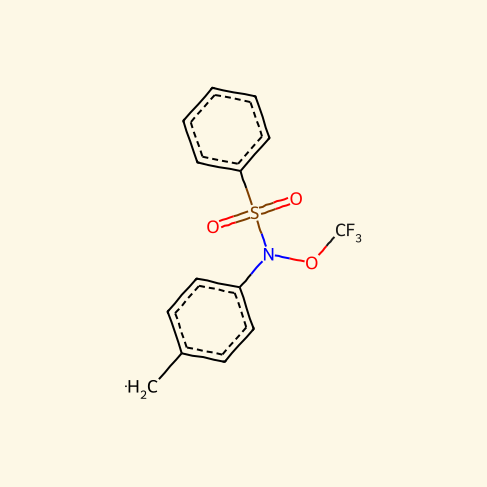 [CH2]c1ccc(N(OC(F)(F)F)S(=O)(=O)c2ccccc2)cc1